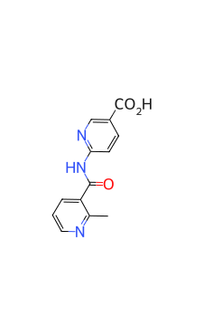 Cc1ncccc1C(=O)Nc1ccc(C(=O)O)cn1